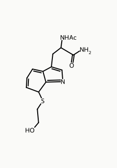 CC(=O)NC(CC1=CN=C2C1=CC=CC2SCCO)C(N)=O